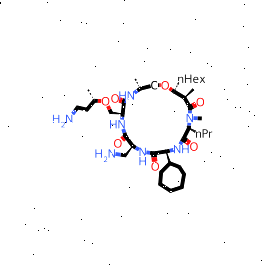 CCCCCC[C@H]1OC[C@@H](C)NC(=O)[C@H](CO[C@@H](C)CCN)NC(=O)[C@H](CN)NC(=O)[C@H](C2CCCCCC2)NC(=O)[C@H](CCC)N(C)C(=O)[C@@H]1C